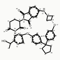 CC(O)c1cnc(Oc2ccc(C3(c4ccc(O[C@H]5C[C@H](Nc6ccc7c(c6)C(=O)N(C6CCC(=O)NC6=O)C7=O)C5)cc4)CCCC3)cc2)cn1